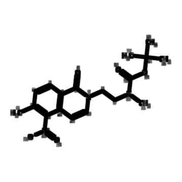 Cc1ccc2c(=O)n(CCN(C)C(=O)OC(C)(C)C)ccc2c1[N+](=O)[O-]